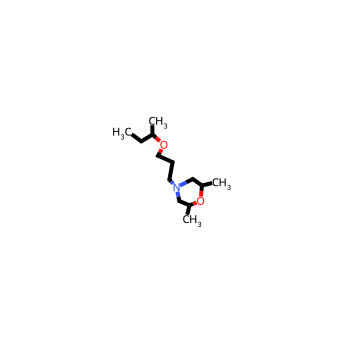 CCC(C)OCCCN1CC(C)OC(C)C1